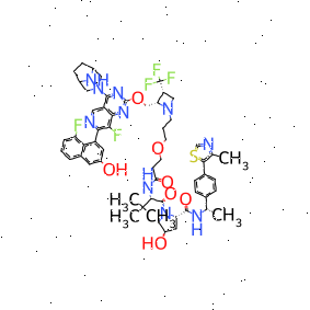 Cc1ncsc1-c1ccc([C@H](C)NC(=O)[C@@H]2C[C@@H](O)CN2C(=O)[C@@H](NC(=O)CCOCCCN2C[C@@H](C(F)(F)F)[C@H]2COc2nc(N3CC4CCC(C3)N4)c3cnc(-c4cc(O)cc5cccc(F)c45)c(F)c3n2)C(C)(C)C)cc1